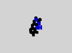 C=C1N=C2Nc3c(ccc(C)c3C)CC2=CN1C